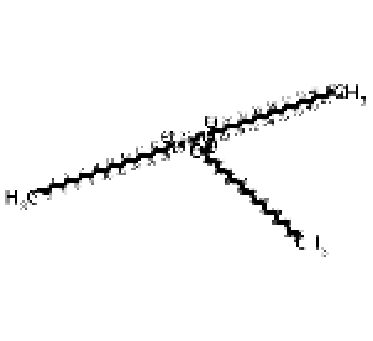 CCCCCCCCCCCCCCCCCCCC(=O)OC[C@H](COC(=O)CCCCCCCCCCCCCCCCC)OC(=O)CCCCCCCCCCCCCCCCC